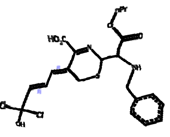 CCCOC(=O)C(NCc1ccccc1)C1N=C(C(=O)O)/C(=C/C=C/C(O)(Cl)Cl)CS1